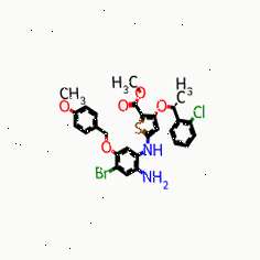 COC(=O)c1sc(Nc2cc(OCc3ccc(OC)cc3)c(Br)cc2N)cc1O[C@H](C)c1ccccc1Cl